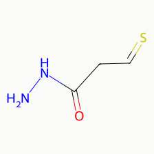 NNC(=O)CC=S